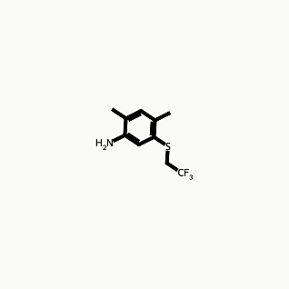 Cc1cc(C)c(SCC(F)(F)F)cc1N